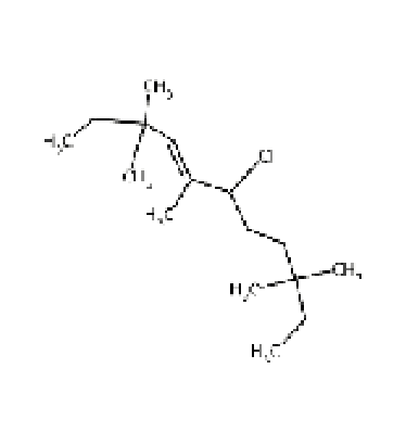 CCC(C)(C)/C=C(\C)C(Cl)CCC(C)(C)CC